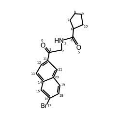 O=C(CNC(=O)C1CCCC1)c1ccc2cc(Br)ccc2c1